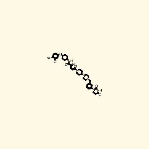 N#Cc1ccc(OC2CCC(NC(=O)c3ccc(N4CCC(N5CCN(Cc6cccc(N7CCC(=O)NC7=O)c6)CC5)CC4)nn3)CC2)cc1Cl